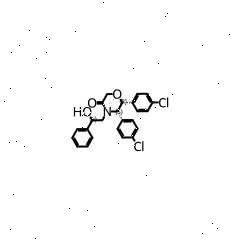 O=C1CO[C@H](c2ccc(Cl)cc2)[C@H](c2ccc(Cl)cc2)N1C[C@H](O)c1ccccc1